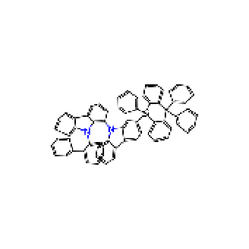 c1ccc(-c2ccccc2-n2c3ccccc3c3cccc(-n4c5ccccc5c5ccc([Si]6(c7ccccc7)c7ccccc7C(c7ccccc7)(c7ccccc7)c7ccccc76)cc54)c32)cc1